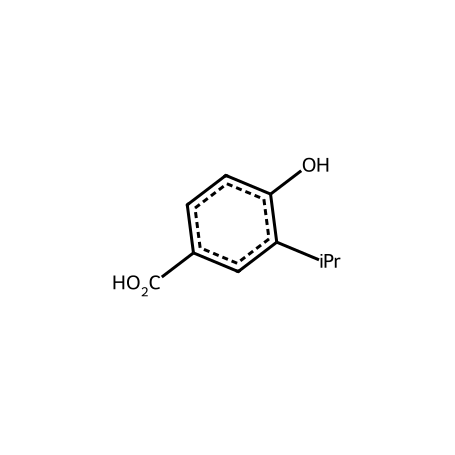 CC(C)c1cc(C(=O)O)ccc1O